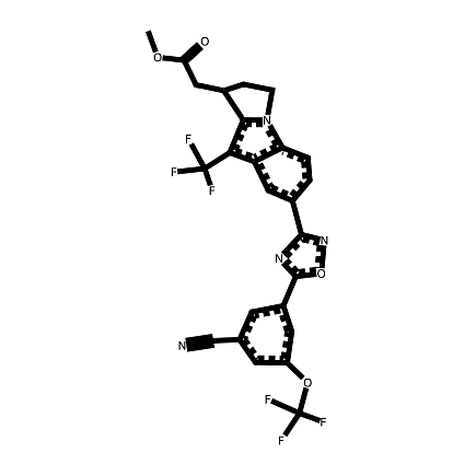 COC(=O)CC1CCn2c1c(C(F)(F)F)c1cc(-c3noc(-c4cc(C#N)cc(OC(F)(F)F)c4)n3)ccc12